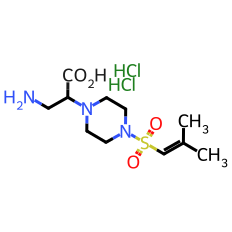 CC(C)=CS(=O)(=O)N1CCN(C(CN)C(=O)O)CC1.Cl.Cl